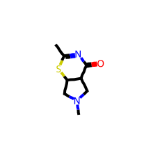 CC1=NC(=O)C2CN(C)CC2S1